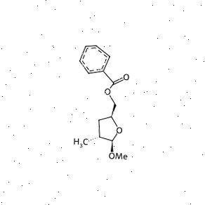 CO[C@@H]1O[C@H](COC(=O)c2ccccc2)C[C@H]1C